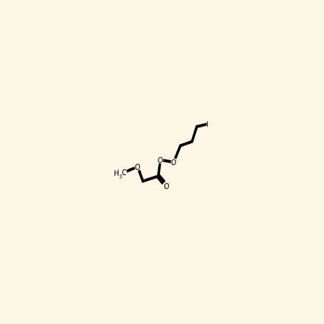 COCC(=O)OOCCCI